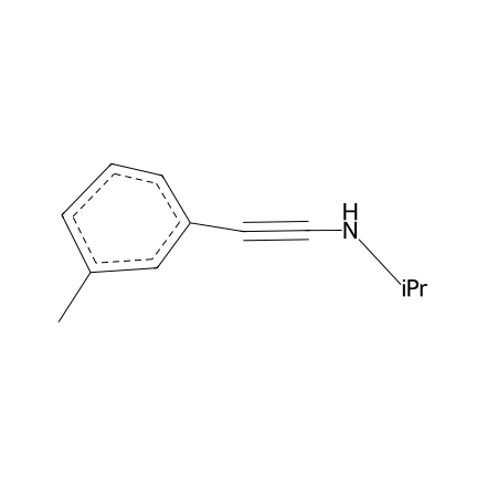 Cc1cccc(C#CNC(C)C)c1